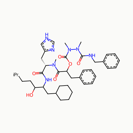 CC(C)CCC(O)C(CC1CCCCC1)NC(=O)[C@H](Cc1c[nH]cn1)N(C)C(=O)C(Cc1ccccc1)OC(=O)N(C)N(C)C(=O)NCc1ccccc1